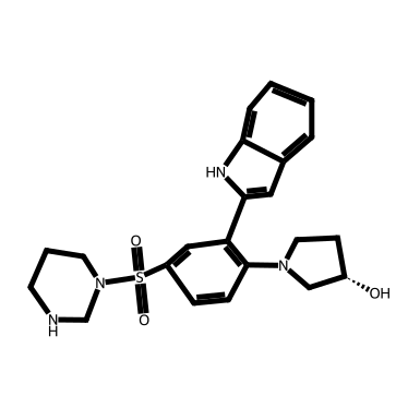 O=S(=O)(c1ccc(N2CC[C@H](O)C2)c(-c2cc3ccccc3[nH]2)c1)N1CCCNC1